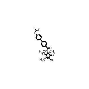 CNC(=O)[C@@](C)(C(=O)NO)N(C)C(=O)c1ccc(-c2ccc(OC(F)F)cc2)cc1